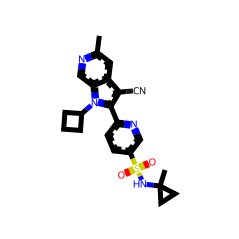 Cc1cc2c(C#N)c(-c3ccc(S(=O)(=O)NC4(C)CC4)cn3)n(C3CCC3)c2cn1